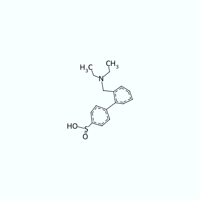 CCN(CC)Cc1ccccc1-c1ccc(S(=O)O)cc1